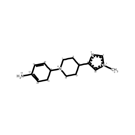 Cn1cnc(C2CCN(C3C=CC(N)=CC3)CC2)c1